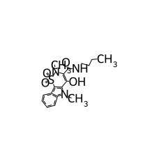 CCCCNC(=O)C1=C(O)c2c(c3ccccc3n2C)S(=O)(=O)N1C